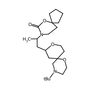 CC(CC1CC2(CCO1)CN(C(C)(C)C)CCO2)N1CCC2(CCCC2)OC1=O